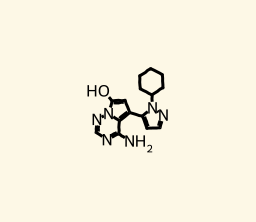 Nc1ncnn2c(O)cc(-c3ccnn3C3CCCCC3)c12